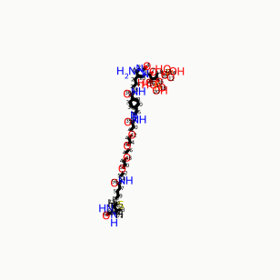 Nc1nc(=O)n([C@@H]2O[C@H](COP(=O)(O)O)C(OP(=O)(O)O)C2O)cc1CCCNC(=O)c1ccc(/C=N/NC(=O)CCOCCOCCOCCOCCNC(=O)CCCC[C@@H]2SC[C@@H]3NC(=O)N[C@@H]32)cc1